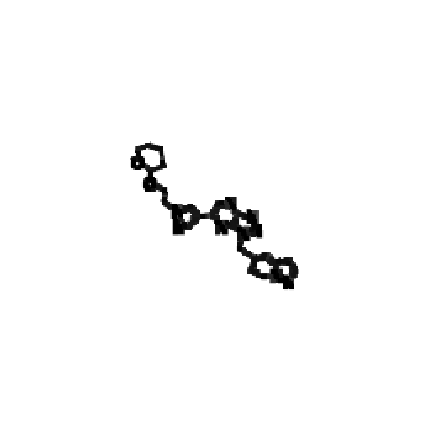 c1cc2cc(Cn3nnc4ncc(-c5cnn(CCOC6CCCCO6)c5)nc43)ccn2n1